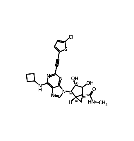 CNC(=O)[C@]12C[C@@H]1[C@@H](n1cnc3c(NC4CCC4)nc(C#Cc4ccc(Cl)s4)nc31)[C@@H](O)C2O